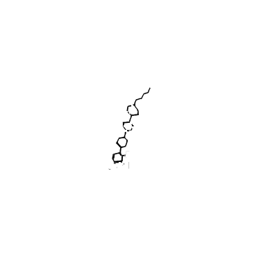 CCCCCC1CCC(C2CCC(C3CC=C(c4ccc(OC)c(Cl)c4F)CC3)CC2)CC1